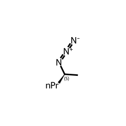 CCC[C@H](C)N=[N+]=[N-]